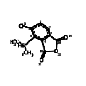 C[SiH](C)c1c(Cl)ccc2c1C(=O)OC2=O